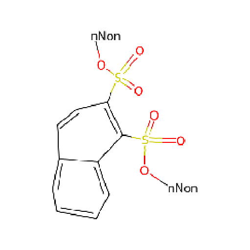 CCCCCCCCCOS(=O)(=O)c1ccc2ccccc2c1S(=O)(=O)OCCCCCCCCC